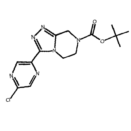 CC(C)(C)OC(=O)N1CCn2c(nnc2-c2cnc(Cl)cn2)C1